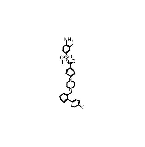 Cc1cc(S(=O)(=O)NC(=O)c2ccc(N3CCN(Cc4ccccc4-c4ccc(Cl)cc4)CC3)cc2)ccc1N